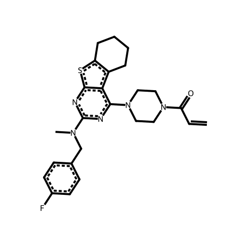 C=CC(=O)N1CCN(c2nc(N(C)Cc3ccc(F)cc3)nc3sc4c(c23)CCCC4)CC1